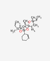 C=C[Si](C)(C)O[Si](C)(C=C)O[Si](C)(O[Si](C)(C)C=C)C1C=CCCC1